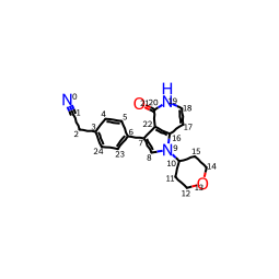 N#CCc1ccc(-c2cn(C3CCOCC3)c3cc[nH]c(=O)c23)cc1